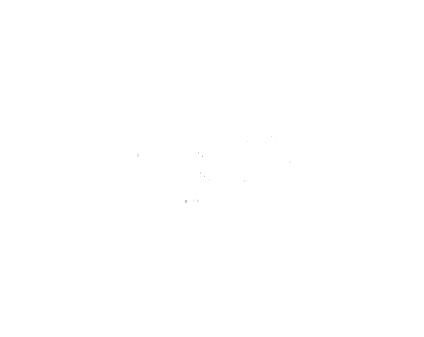 Brc1cnn(Cc2ncco2)c1.CCCCCCl